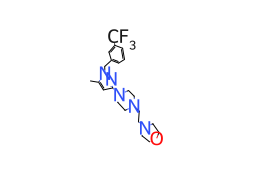 Cc1cc(N2CCN(CCN3CCOCC3)CC2)nn1Cc1cccc(C(F)(F)F)c1